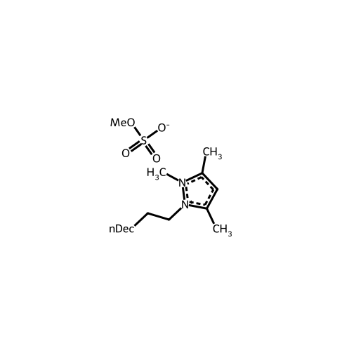 CCCCCCCCCCCC[n+]1c(C)cc(C)n1C.COS(=O)(=O)[O-]